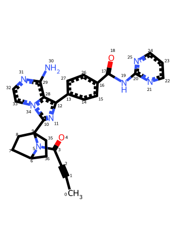 CC#CC(=O)N1C2CCC1(c1nc(-c3ccc(C(=O)Nc4ncccn4)cc3)c3c(N)nccn13)CC2